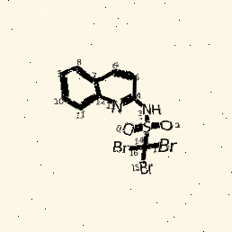 O=S(=O)(Nc1ccc2ccccc2n1)C(Br)(Br)Br